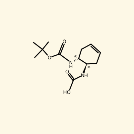 CC(C)(C)OC(=O)N[C@@H]1CC=CC[C@H]1NC(=O)O